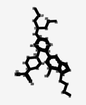 COCCn1ccc2cc(-c3ncc(CC(COC)COC)nc3N3CCC(C(=O)O)CC3)cc(F)c21